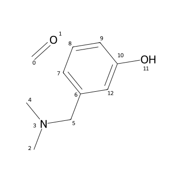 C=O.CN(C)Cc1cccc(O)c1